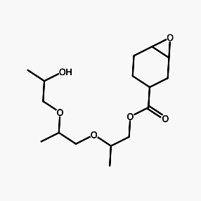 CC(O)COC(C)COC(C)COC(=O)C1CCC2OC2C1